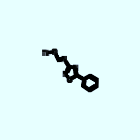 CCO/C=N/c1noc(-c2ccccc2)n1